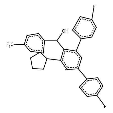 OC(c1ccc(C(F)(F)F)cc1)c1c(C2CCCC2)[c]c(-c2ccc(F)cc2)cc1-c1ccc(F)cc1